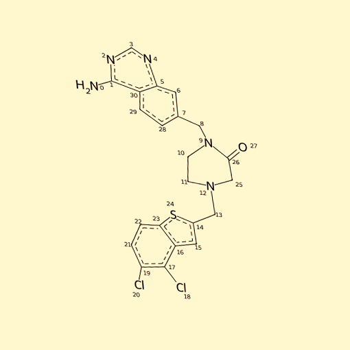 Nc1ncnc2cc(CN3CCN(Cc4cc5c(Cl)c(Cl)ccc5s4)CC3=O)ccc12